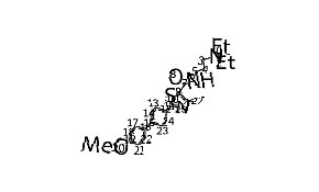 CCN(CC)CCCNC(=O)c1sc(-c2ccc(-c3ccc(OC)cc3)cc2)nc1C